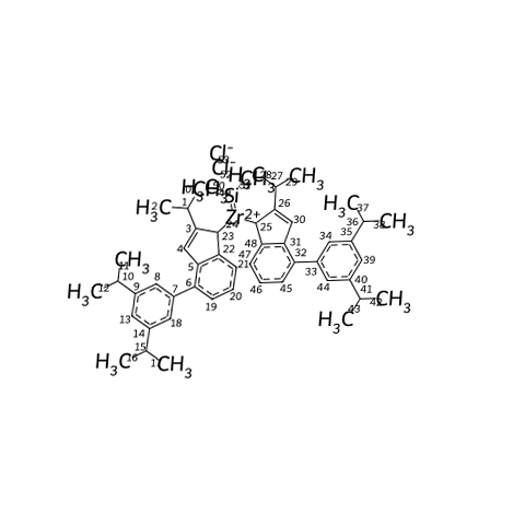 CC(C)C1=Cc2c(-c3cc(C(C)C)cc(C(C)C)c3)cccc2[CH]1[Zr+2]([CH]1C(C(C)C)=Cc2c(-c3cc(C(C)C)cc(C(C)C)c3)cccc21)=[Si](C)C.[Cl-].[Cl-]